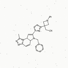 Cc1nnc2n1C1C=C(c3ccn(C4(CC#N)CN(C(C)C)C4)n3)N(Cc3ccccc3)C1C=C2